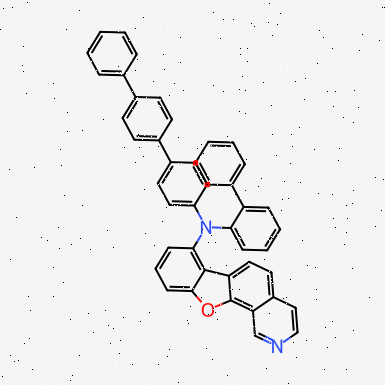 c1ccc(-c2ccc(-c3ccc(N(c4ccccc4-c4ccccc4)c4cccc5oc6c7cnccc7ccc6c45)cc3)cc2)cc1